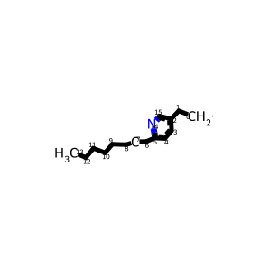 [CH2]Cc1ccc(CCCCCCCC)nc1